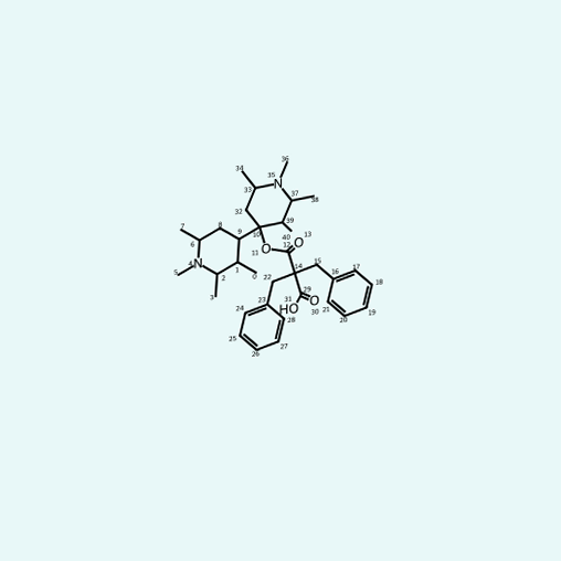 CC1C(C)N(C)C(C)CC1C1(OC(=O)C(Cc2ccccc2)(Cc2ccccc2)C(=O)O)CC(C)N(C)C(C)C1C